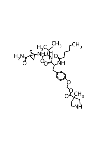 CCCCCC(=O)NC(Cc1ccc(OCOC(=O)C2(C)CCNCC2)cc1)C(=O)NC(C(=O)NC12CC1(C(N)=O)S2)C(C)CC